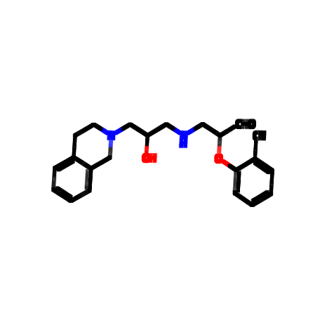 N#Cc1ccccc1OC(C=O)CNCC(O)CN1CCc2ccccc2C1